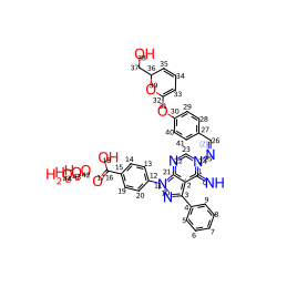 N=c1c2c(-c3ccccc3)nn(-c3ccc(C(=O)O)cc3)c2ncn1/N=C\c1ccc(OC2=CC=CC(CO)O2)cc1.O.O.O